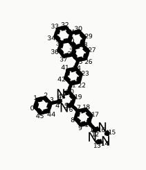 c1ccc(-c2nc(-c3ccc(-c4ncncn4)cc3)cc(-c3ccc(-c4ccc5ccc6cccc7ccc4c5c67)cc3)n2)cc1